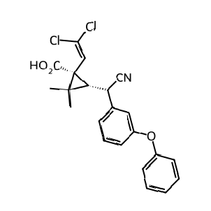 CC1(C)[C@@H](C(C#N)c2cccc(Oc3ccccc3)c2)[C@@]1(C=C(Cl)Cl)C(=O)O